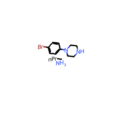 Brc1ccc(N2CCNCC2)cc1.CCCC.N